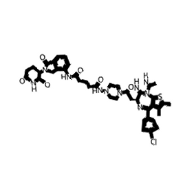 CC(=N)N1C(=N)[C@H](CC(=O)N2CCN(NC(=O)CCCC(=O)Nc3cccc4c3CN(C3CCC(=O)NC3=O)C4=O)CC2)N=C(c2ccc(Cl)cc2)c2c1sc(C)c2C